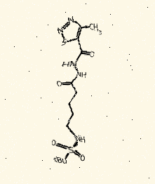 Cc1nnsc1C(=O)NNC(=O)CCCCNS(=O)(=O)C(C)(C)C